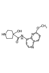 COc1ccc2nccc(NC(=O)C3(O)CCNCC3)c2n1